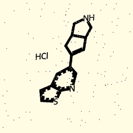 C1=C(c2cnc3sccc3c2)CC2CNCC12.Cl